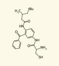 CC(CC(=O)Nc1ccc(NC(=O)C(N)CS)cc1C(=O)c1ccccc1)CC(C)(C)C